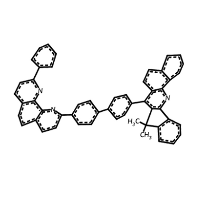 CC1(C)c2ccccc2-c2nc3c(ccc4ccccc43)c(-c3ccc(-c4ccc(-c5ccc6ccc7ccc(-c8ccccc8)nc7c6n5)cc4)cc3)c21